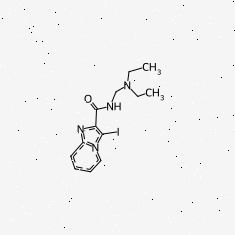 CCN(CC)CNC(=O)c1nc2ccccn2c1I